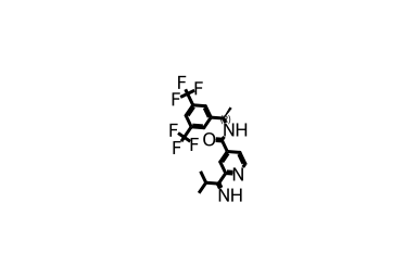 CC(C)C(=N)c1cc(C(=O)N[C@H](C)c2cc(C(F)(F)F)cc(C(F)(F)F)c2)ccn1